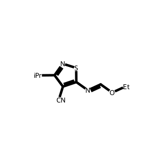 CCO/C=N/c1snc(C(C)C)c1C#N